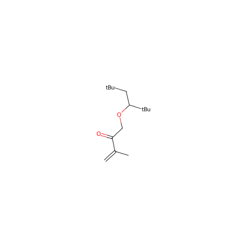 C=C(C)C(=O)COC(CC(C)(C)C)C(C)(C)C